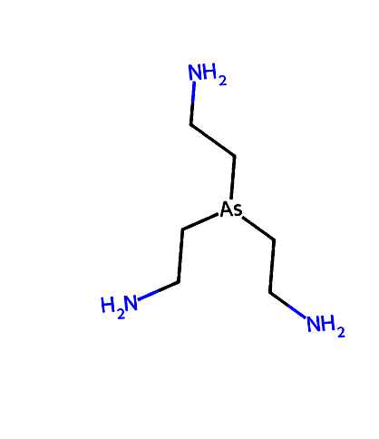 NCC[As](CCN)CCN